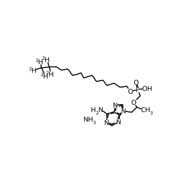 N.[2H]C([2H])([2H])C([2H])([2H])CCCCCCCCCCCCCOP(=O)(O)COC(C)Cn1cnc2c(N)ncnc21